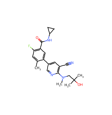 Cc1cc(F)c(C(=O)NC2CC2)cc1-c1cnc(N(C)CC(C)(C)O)c(C#N)c1